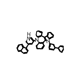 C1=CC2=C(CC1)N(C1=CNCC(c3cccc4ccccc34)=C1)C1=C(C=CCC1)c1c2c2ccccc2n1-c1cccc(-c2ccccc2)c1